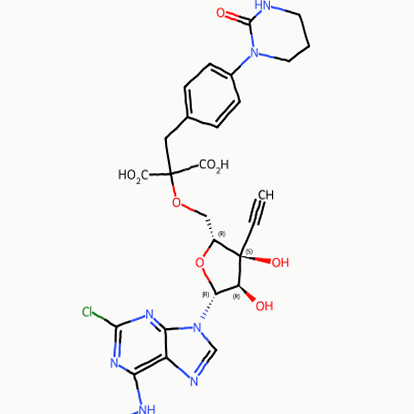 C#C[C@@]1(O)[C@@H](COC(Cc2ccc(N3CCCNC3=O)cc2)(C(=O)O)C(=O)O)O[C@@H](n2cnc3c(NC(C)C)nc(Cl)nc32)[C@@H]1O